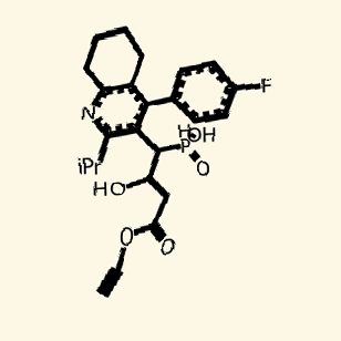 C#COC(=O)CC(O)C(c1c(C(C)C)nc2c(c1-c1ccc(F)cc1)CCCC2)[PH](=O)O